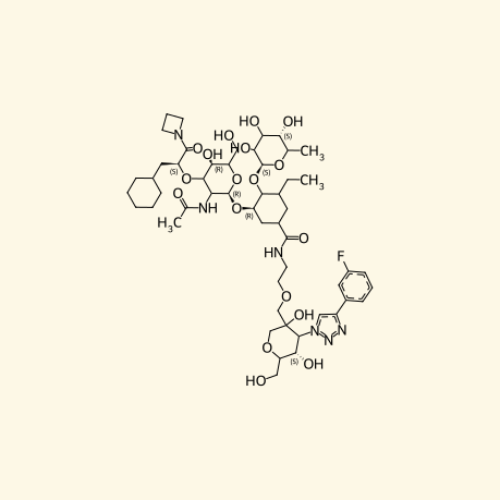 CCC1CC(C(=O)NCCOCC2(O)COC(CO)[C@@H](O)C2n2cc(-c3cccc(F)c3)nn2)C[C@@H](O[C@@H]2OC(CO)[C@H](O)C(O[C@@H](CC3CCCCC3)C(=O)N3CCC3)C2NC(C)=O)C1O[C@@H]1OC(C)[C@@H](O)C(O)C1O